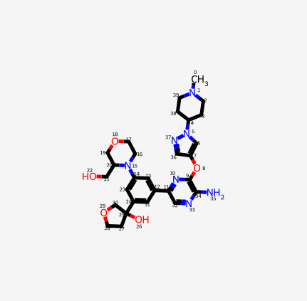 CN1CCC(n2cc(Oc3nc(-c4cc(N5CCOCC5CO)cc(C5(O)CCOC5)c4)cnc3N)cn2)CC1